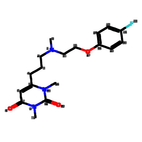 CN(CCCc1cc(=O)n(C)c(=O)n1C)CCOc1ccc(F)cc1